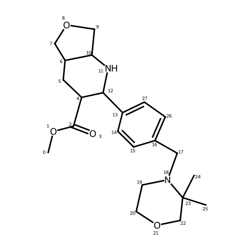 COC(=O)C1CC2COCC2NC1c1ccc(CN2CCOCC2(C)C)cc1